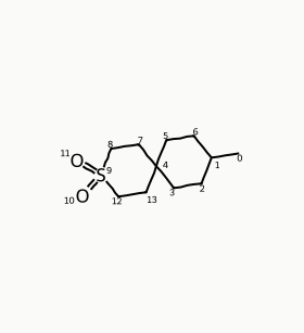 CC1CCC2(CC1)CCS(=O)(=O)CC2